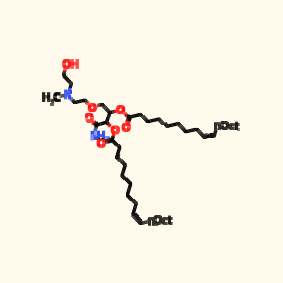 CCCCCCCC/C=C\CCCCCCCC(=O)OC(COCCN(C)CCO)C(OC(=O)CCCCCCC/C=C\CCCCCCCC)C(N)=O